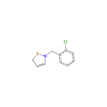 Clc1ccccc1CN1C=CCS1